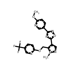 COc1ccc(-c2noc(-c3cnn(C)c3COc3ccc(C(F)(F)F)cn3)n2)cn1